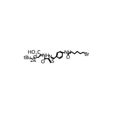 CC(C)(C)[Si](C)(C)OC[C@H](NC(=O)c1csc(-c2ccc(NC(=O)CCCCCBr)cc2)n1)C(=O)O